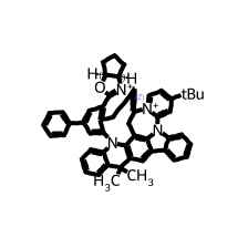 CC(C)(C)c1cc[n+]2c(c1)-n1c3ccccc3c3cc4c5c(c31)C/C2=C1\Cc2c(cc(-c3ccccc3)cc2N5c2ccccc2C4(C)C)C2=[N+]1[C@@H]1CCC[C@@H]1O2